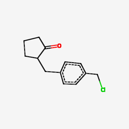 O=C1CCCC1Cc1ccc(CCl)cc1